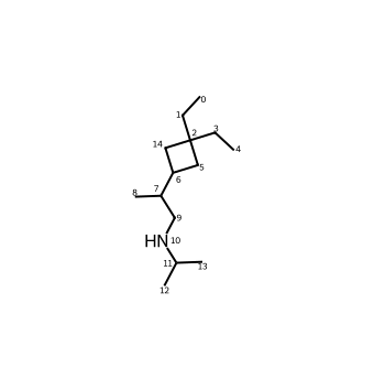 CCC1(CC)CC(C(C)CNC(C)C)C1